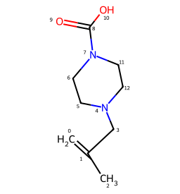 C=C(C)CN1CCN(C(=O)O)CC1